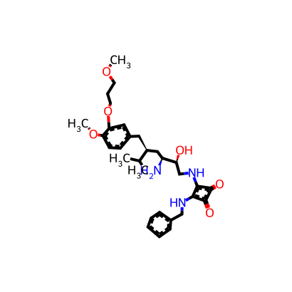 COCCCOc1cc(C[C@@H](C[C@H](N)[C@@H](O)CNc2c(NCc3ccccc3)c(=O)c2=O)C(C)C)ccc1OC